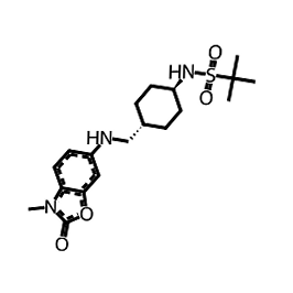 Cn1c(=O)oc2cc(NC[C@H]3CC[C@H](NS(=O)(=O)C(C)(C)C)CC3)ccc21